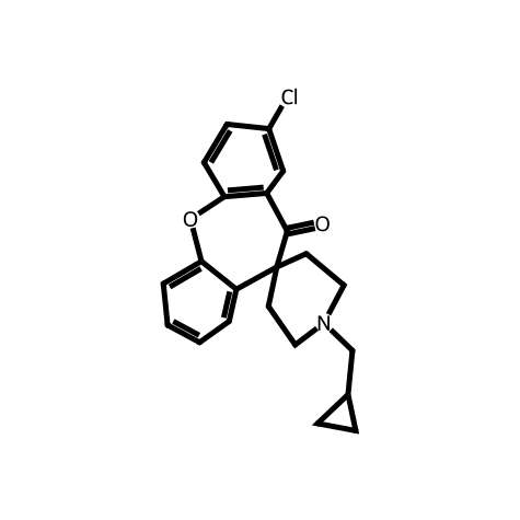 O=C1c2cc(Cl)ccc2Oc2ccccc2C12CCN(CC1CC1)CC2